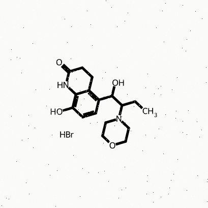 Br.CCC(C(O)c1ccc(O)c2c1CCC(=O)N2)N1CCOCC1